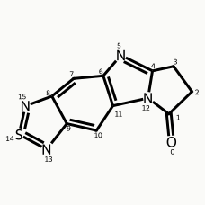 O=C1CCc2nc3cc4c(cc3n21)N=S=N4